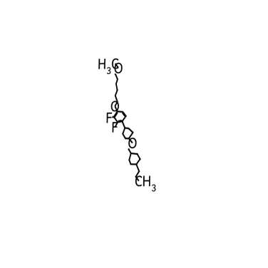 CCCC1CCC(COC2CCC(c3ccc(OCCCCCCOC)c(F)c3F)CC2)CC1